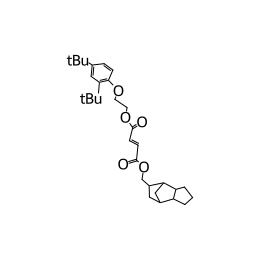 CC(C)(C)c1ccc(OCCOC(=O)/C=C/C(=O)OCC2CC3CC2C2CCCC32)c(C(C)(C)C)c1